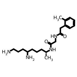 Cc1ccccc1CC(=O)NCC(=O)N[C@@H](C)CCCC(N)CCCN